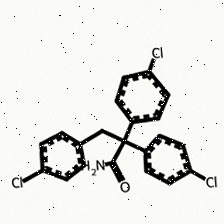 NC(=O)C(Cc1ccc(Cl)cc1)(c1ccc(Cl)cc1)c1ccc(Cl)cc1